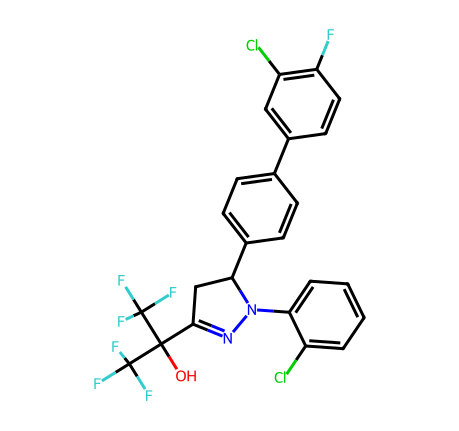 OC(C1=NN(c2ccccc2Cl)C(c2ccc(-c3ccc(F)c(Cl)c3)cc2)C1)(C(F)(F)F)C(F)(F)F